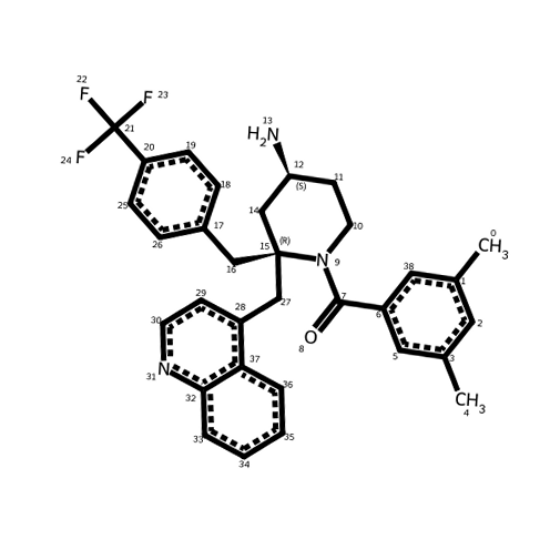 Cc1cc(C)cc(C(=O)N2CC[C@H](N)C[C@@]2(Cc2ccc(C(F)(F)F)cc2)Cc2ccnc3ccccc23)c1